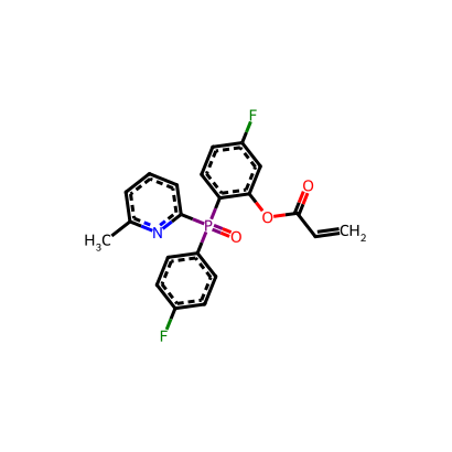 C=CC(=O)Oc1cc(F)ccc1P(=O)(c1ccc(F)cc1)c1cccc(C)n1